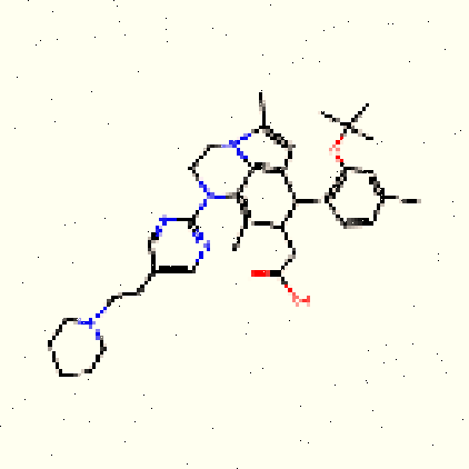 CC1=C2c3c(cc(C)n3CCN2c2ncc(CCN3CCCCC3)cn2)C(c2ccc(C)cc2OC(C)(C)C)C1CC(=O)O